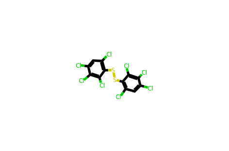 Clc1cc(Cl)c(SSc2c(Cl)cc(Cl)c(Cl)c2Cl)c(Cl)c1Cl